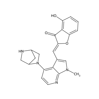 Cn1cc(C=C2Oc3cccc(O)c3C2=O)c2c(N3CC4CC3CN4)ccnc21